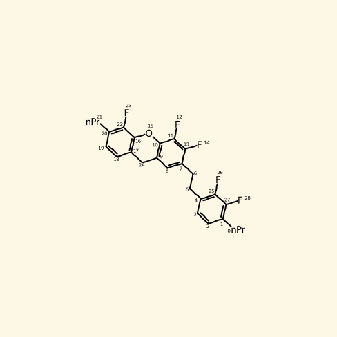 CCCc1ccc(CCc2cc3c(c(F)c2F)Oc2c(ccc(CCC)c2F)C3)c(F)c1F